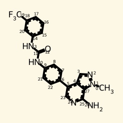 Cn1ncc2c(-c3ccc(NC(=O)Nc4cccc(C(F)(F)F)c4)cc3)cnc(N)c21